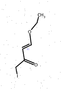 CCO/C=C/C(=O)CI